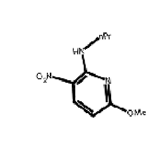 CCCNc1nc(OC)ccc1[N+](=O)[O-]